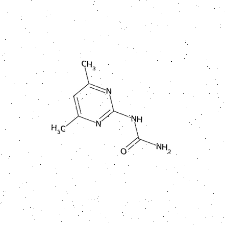 Cc1cc(C)nc(NC(N)=O)n1